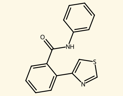 O=C(Nc1ccccc1)c1ccccc1-c1cscn1